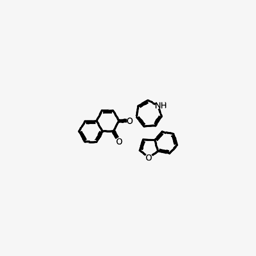 C1=CC=CNC=C1.O=C1C=Cc2ccccc2C1=O.c1ccc2occc2c1